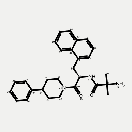 CC(C)(N)C(=O)N[C@H](Cc1cccc2ccccc12)C(=O)N1CCC(c2ccccc2)CC1